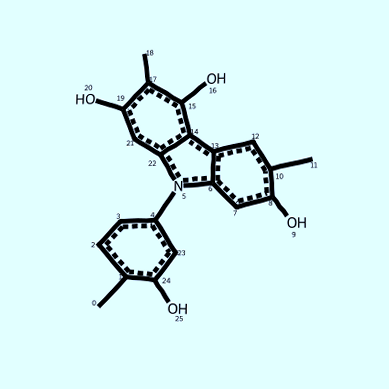 Cc1ccc(-n2c3cc(O)c(C)cc3c3c(O)c(C)c(O)cc32)cc1O